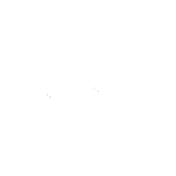 O=C(NC1CCCC1)[C@@H]1CCCN1